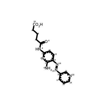 Nc1nc(NC(=O)CCCC(=O)O)ccc1/N=N/c1cccnc1